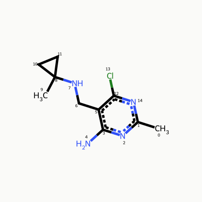 Cc1nc(N)c(CNC2(C)CC2)c(Cl)n1